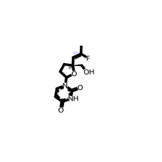 C/C(F)=C/[C@@]1(CO)CCC(n2ccc(=O)[nH]c2=O)O1